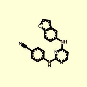 N#Cc1ccc(Nc2nccc(Nc3ccc4occc4c3)n2)cc1